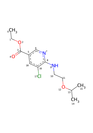 CCOC(=O)c1cnc(NCCOC(C)C)c(Cl)c1